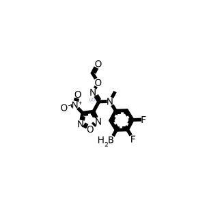 Bc1cc(N(C)/C(=N\OC=O)c2nonc2[N+](=O)[O-])cc(F)c1F